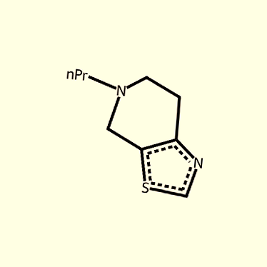 CCCN1CCc2ncsc2C1